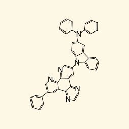 c1ccc(-c2cnc3c(c2)c2nccnc2c2cc(-n4c5ccccc5c5cc(N(c6ccccc6)c6ccccc6)ccc54)cnc23)cc1